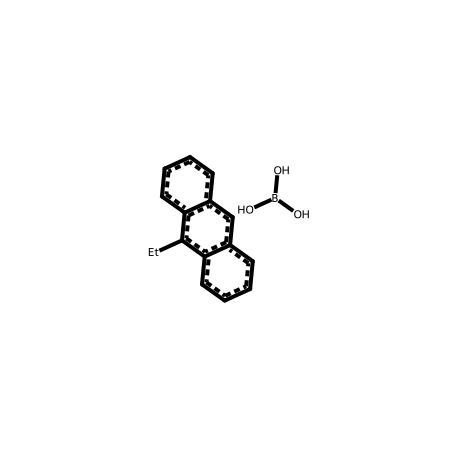 CCc1c2ccccc2cc2ccccc12.OB(O)O